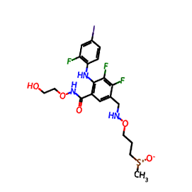 C[S+]([O-])CCCONCc1cc(C(=O)NOCCO)c(Nc2ccc(I)cc2F)c(F)c1F